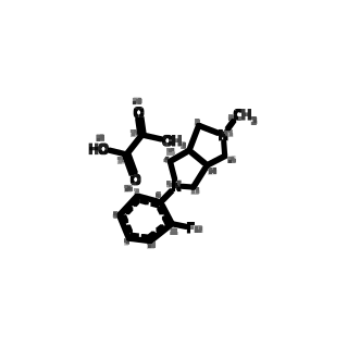 CN1CC2CN(c3ccccc3F)CC2C1.O=C(O)C(=O)O